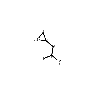 BrC(I)CC1CS1